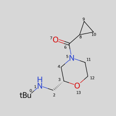 CC(C)(C)NC[C@@H]1CN(C(=O)C2CC2)CCO1